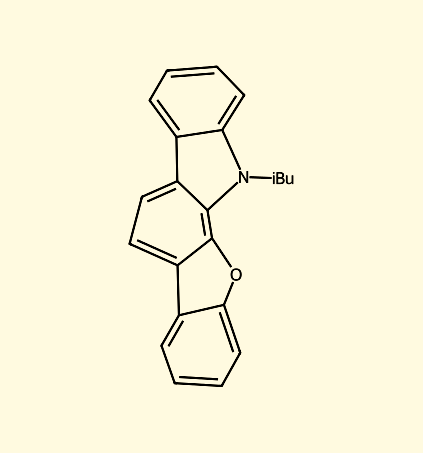 CCC(C)n1c2ccccc2c2ccc3c4ccccc4oc3c21